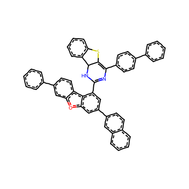 c1ccc(-c2ccc(C3=C4Sc5ccccc5C4NC(c4cc(-c5ccc6ccccc6c5)cc5oc6cc(-c7ccccc7)ccc6c45)=N3)cc2)cc1